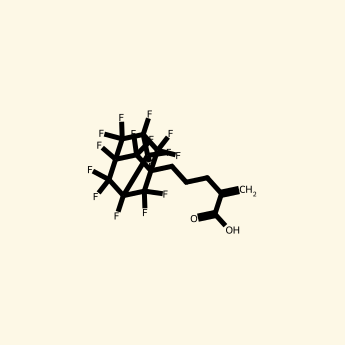 C=C(CCCC12C(F)(F)C3(F)C(F)(F)C(F)(C(F)(F)C(F)(C3(F)F)C1(F)F)C2(F)F)C(=O)O